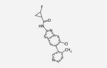 Cc1ccncc1-c1cc2sc(NC(=O)C3CC3F)nc2cc1Cl